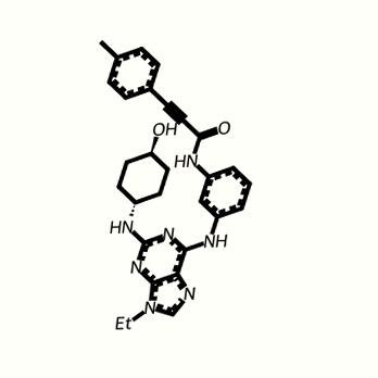 CCn1cnc2c(Nc3cccc(NC(=O)C#Cc4ccc(C)cc4)c3)nc(N[C@H]3CC[C@H](O)CC3)nc21